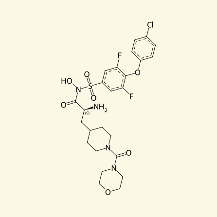 N[C@@H](CC1CCN(C(=O)N2CCOCC2)CC1)C(=O)N(O)S(=O)(=O)c1cc(F)c(Oc2ccc(Cl)cc2)c(F)c1